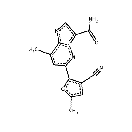 Cc1cc(C#N)c(-c2cc(C)c3ncc(C(N)=O)n3n2)o1